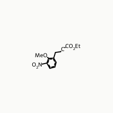 CCOC(=O)CCCc1cccc([N+](=O)[O-])c1OC